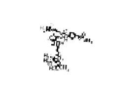 BC(=O)OCc1ccc(NC(=O)[C@H](CCCNC(N)=O)NC(=O)[C@@H](NCCCCCOC(CC(C)(C)C)CC(C)(C)C)C(C)C)cc1